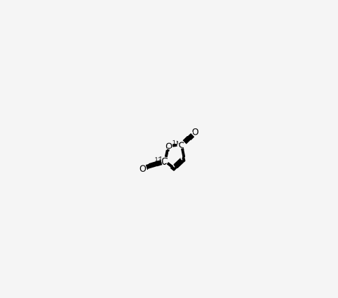 O=[13C]1C=C[13C](=O)O1